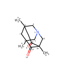 CC12CN3CC(C)(C1)C(=O)C(C)(C3)C2=O